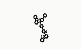 c1ccc(-c2ccc(N(c3ccc(-c4ccc(-c5cccc6c5oc5ccccc56)nc4)cc3)c3cccc4c3oc3ccccc34)cc2)cc1